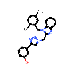 Cc1ccc(C)c(Cn2c(Cn3cc(-c4cccc(O)c4)nn3)nc3ccccc32)c1